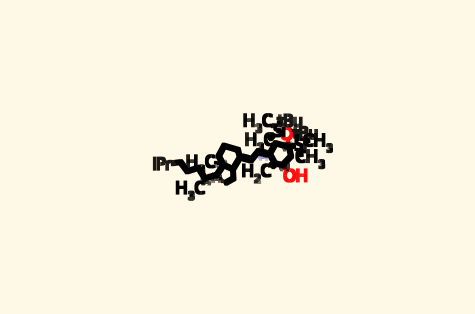 C=C1/C(=C\C=C2CCC[C@@]3(C)C2CC[C@@H]3[C@H](C)CCCC(C)C)C[C@](O[Si](C)(C)C(C)(C)C)([Si](C)(C)C(C)(C)C)C[C@H]1O